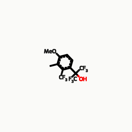 COc1ccc(C(O)(C(F)(F)F)C(F)(F)F)c(C(F)(F)F)c1C